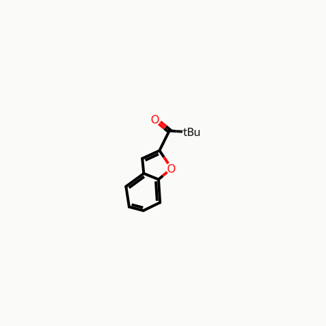 CC(C)(C)C(=O)c1cc2ccccc2o1